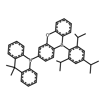 CC(C)c1cc(C(C)C)c(B2c3ccccc3Oc3cc(N4c5ccccc5C(C)(C)c5ccccc54)ccc32)c(C(C)C)c1